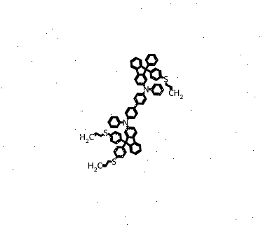 C=CCSc1ccc(C2(c3ccccc3)c3ccccc3-c3ccc(N(c4ccccc4)c4ccc(-c5ccc(N(c6ccccc6)c6ccc7c(c6)C(c6ccc(SCC=C)cc6)(c6ccc(SCC=C)cc6)c6ccccc6-7)cc5)cc4)cc32)cc1